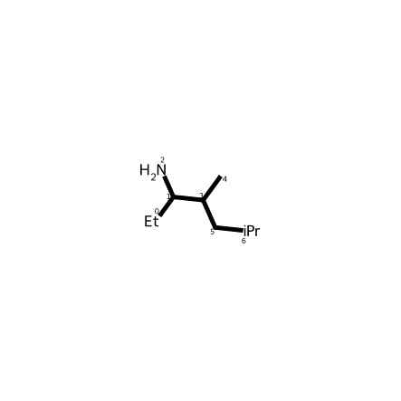 CCC(N)C(C)CC(C)C